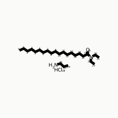 CCCCCCCCCCCCCCCCCC(=O)N(CC)CC.CCCN.Cl